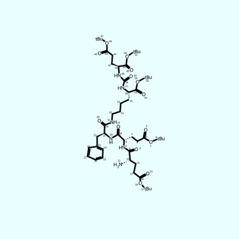 CC(C)(C)OC(=O)CC[C@H](NC(=O)[C@@H](N)CCC(=O)OC(C)(C)C)C(=O)N[C@@H](Cc1ccccc1)C(=O)NCCCC[C@H](NC(=O)N[C@@H](CCC(=O)OC(C)(C)C)C(=O)OC(C)(C)C)C(=O)OC(C)(C)C